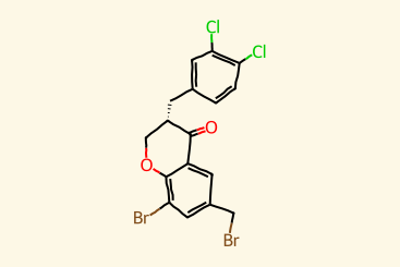 O=C1c2cc(CBr)cc(Br)c2OC[C@@H]1Cc1ccc(Cl)c(Cl)c1